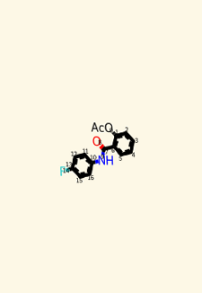 CC(=O)Oc1ccccc1C(=O)Nc1ccc(F)cc1